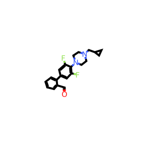 O=Cc1ccccc1-c1cc(F)c(N2CCN(CC3CC3)CC2)c(F)c1